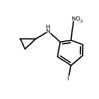 O=[N+]([O-])c1ccc(I)cc1NC1CC1